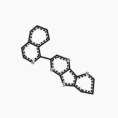 c1ccc2c(-c3cnc4c(n3)sc3cccnc34)nccc2c1